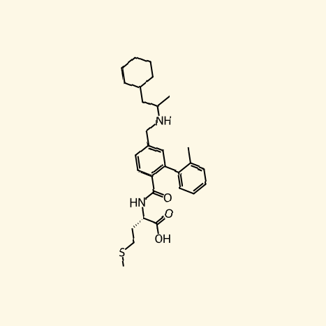 CSCC[C@H](NC(=O)c1ccc(CNC(C)CC2CCCCC2)cc1-c1ccccc1C)C(=O)O